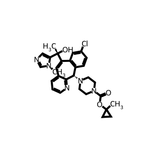 Cn1cncc1[C@](C)(O)C1=Cc2cccnc2[C@@H](N2CCN(C(=O)OC3(C)CC3)CC2)c2ccc(Cl)cc21